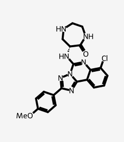 COc1ccc(-c2nc3c4cccc(Cl)c4nc(N[C@@H]4CNCCNC4=O)n3n2)cc1